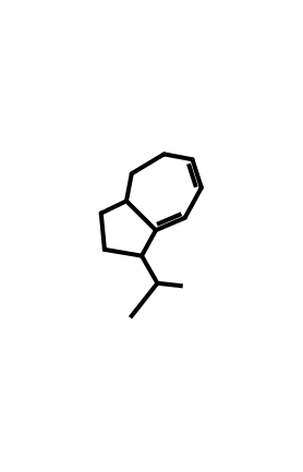 CC(C)C1CCC2CCC=CC=C21